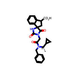 C[C@@H](C1CC1)N(Cc1ccccc1)C(=O)CN1C(=O)NC2(CC(C(=O)O)c3ccccc32)C1=O